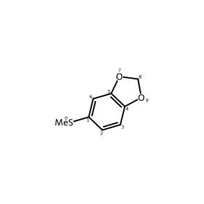 [CH2]Sc1ccc2c(c1)OCO2